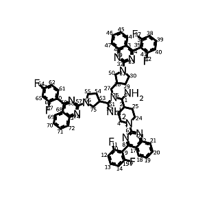 NC(C1CCN(c2nc(-c3c(F)cccc3F)c3ccccc3n2)CC1)N(CC1CCN(c2nc(-c3c(F)cccc3F)c3ccccc3n2)C1)C(N)C1CCN(c2nc(-c3ccc(F)cc3F)c3ccccc3n2)C1